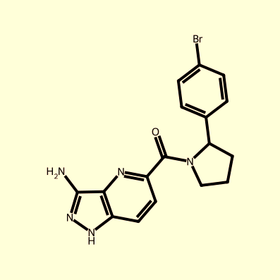 Nc1n[nH]c2ccc(C(=O)N3CCCC3c3ccc(Br)cc3)nc12